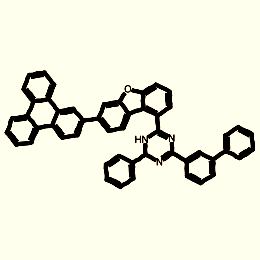 c1ccc(-c2cccc(C3=NC(c4ccccc4)NC(c4cccc5oc6cc(-c7ccc8c9ccccc9c9ccccc9c8c7)ccc6c45)=N3)c2)cc1